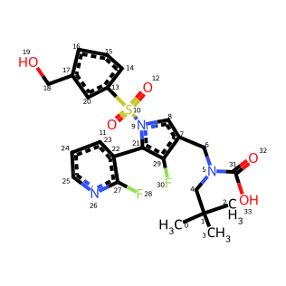 CC(C)(C)CN(Cc1cn(S(=O)(=O)c2cccc(CO)c2)c(-c2cccnc2F)c1F)C(=O)O